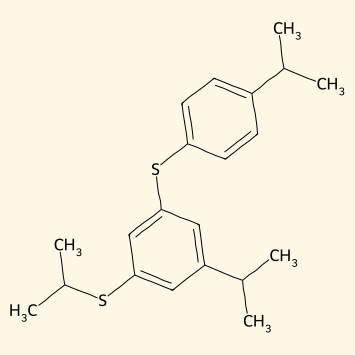 CC(C)Sc1cc(Sc2ccc(C(C)C)cc2)cc(C(C)C)c1